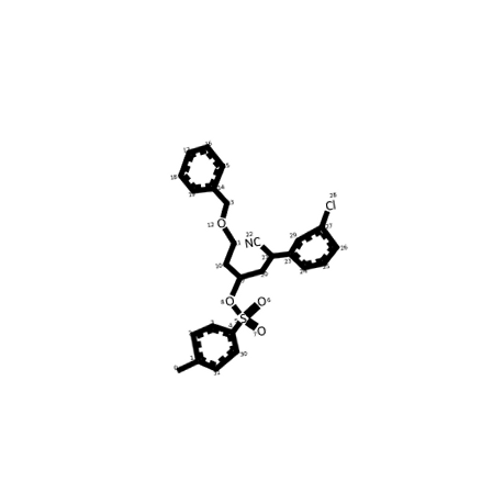 Cc1ccc(S(=O)(=O)OC(CCOCc2ccccc2)CC(C#N)c2cccc(Cl)c2)cc1